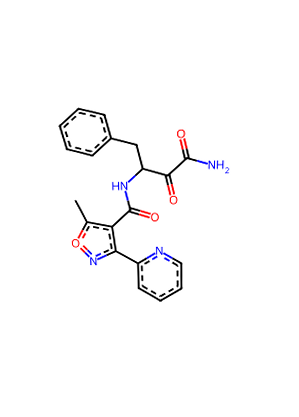 Cc1onc(-c2ccccn2)c1C(=O)NC(Cc1ccccc1)C(=O)C(N)=O